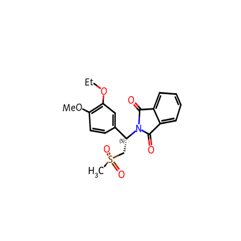 CCOc1cc([C@@H](CS(C)(=O)=O)N2C(=O)c3ccccc3C2=O)ccc1OC